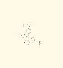 CCCCCCCCCCN1C(=O)c2ccccc2C12c1cc(C)c(NCC)cc1Oc1cc(NCC)c(C)cc12